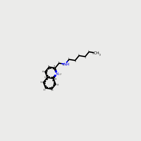 CCCCCCNCc1ccc2ccccc2n1